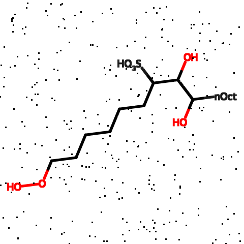 CCCCCCCCC(O)C(O)C(CCCCCCOO)S(=O)(=O)O